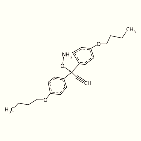 C#CC(ON)(c1ccc(OCCCC)cc1)c1ccc(OCCCC)cc1